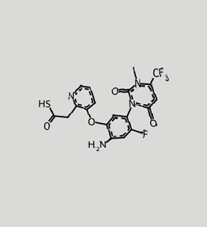 Cn1c(C(F)(F)F)cc(=O)n(-c2cc(Oc3cccnc3CC(=O)S)c(N)cc2F)c1=O